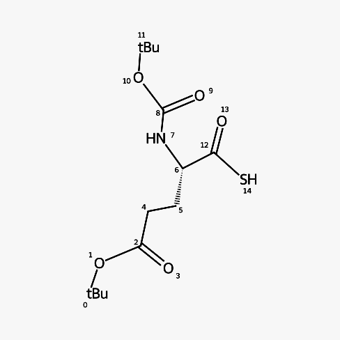 CC(C)(C)OC(=O)CC[C@H](NC(=O)OC(C)(C)C)C(=O)S